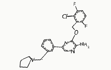 Nc1ncc(-c2cccc([CH]N3CCCC3)c2)nc1OCc1c(F)ccc(F)c1Cl